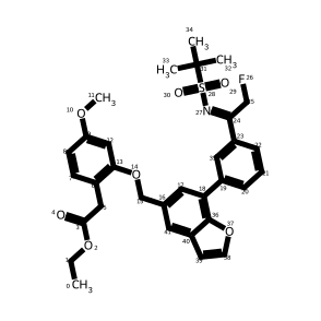 CCOC(=O)Cc1ccc(OC)cc1OCc1cc(-c2cccc(C(CF)=NS(=O)(=O)C(C)(C)C)c2)c2occc2c1